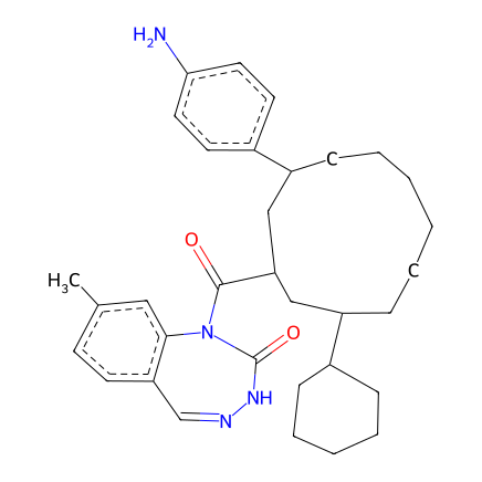 Cc1ccc2c(c1)N(C(=O)C1CC(c3ccc(N)cc3)CCCCCCC(C3CCCCC3)C1)C(=O)NN=C2